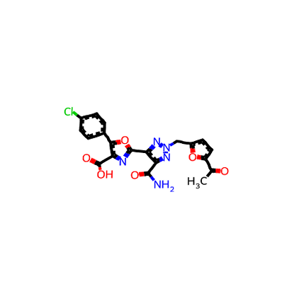 CC(=O)c1ccc(Cn2nc(C(N)=O)c(-c3nc(C(=O)O)c(-c4ccc(Cl)cc4)o3)n2)o1